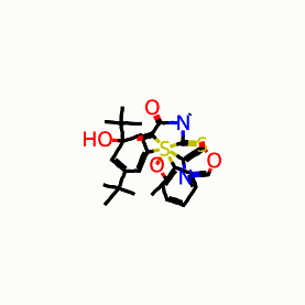 C=C1C(=O)N(C)C(=S)S1(OCC)(C1=CC(C(C)(C)C)=CC(O)(C(C)(C)C)C1)(c1ccccc1)c1cocn1